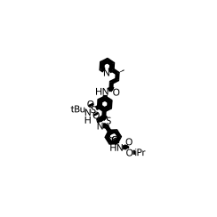 CC(C)OC(=O)NC12CCC(c3ncc(-c4ccc(NC(=O)CC[C@@H](C)c5ccccn5)cc4S(=O)(=O)NC(C)(C)C)s3)(CC1)CC2